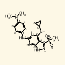 CN(C)c1ccc(Nc2nc(NC3CC3)c3c(S(C)(=O)=O)n[nH]c3n2)cc1